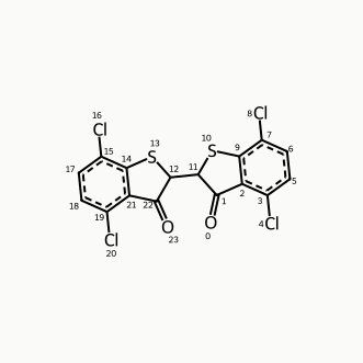 O=C1c2c(Cl)ccc(Cl)c2SC1C1Sc2c(Cl)ccc(Cl)c2C1=O